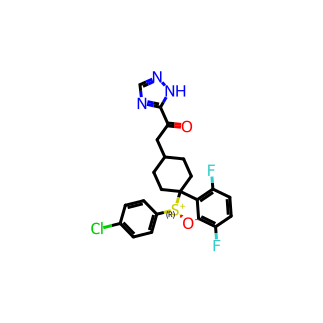 O=C(CC1CCC(c2cc(F)ccc2F)([S@@+]([O-])c2ccc(Cl)cc2)CC1)c1ncn[nH]1